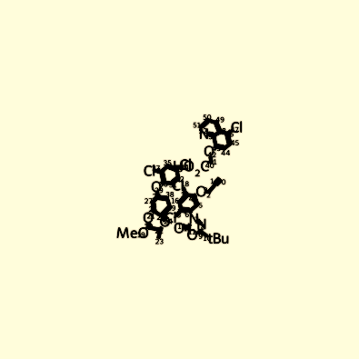 C#CCOc1cc(-n2nc(C(C)(C)C)oc2=O)c(Cl)cc1Cl.COC(=O)C(C)Oc1ccc(Oc2ccc(Cl)cc2Cl)cc1.O=C(O)COc1ccc(Cl)c2cccnc12